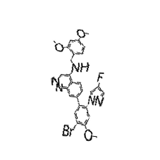 COc1ccc(CNc2cnnc3cc(-c4cc(Br)c(OC)cc4-n4cc(F)cn4)ccc23)c(OC)c1